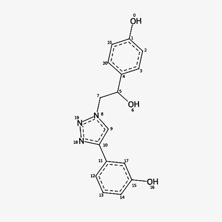 Oc1ccc(C(O)Cn2cc(-c3cccc(O)c3)nn2)cc1